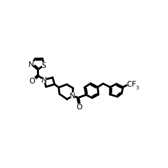 O=C(c1ccc(Cc2cccc(C(F)(F)F)c2)cc1)N1CCC(C2CN(C(=O)c3nccs3)C2)CC1